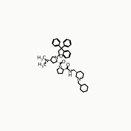 CN(C)[C@@H]1C[C@@H](C(=O)N2CCC[C@@H]2C(=O)NC[C@H]2CCCN(CC3CCCCC3)C2)N(C(=O)CC(c2ccccc2)(c2ccccc2)c2ccccc2)C1